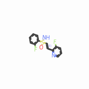 N=S(=O)(/C=C/c1ncccc1F)c1ccccc1F